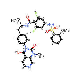 COc1ccccc1S(=O)(=O)Nc1cc(F)c(C(=O)N[C@@H](Cc2ccc(-n3c(=O)c4ccncc4n(C)c3=O)cc2)C(=O)O)c(F)c1